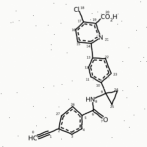 C#Cc1ccc(C(=O)NC2(c3ccc(-c4ccc(Cl)c(C(=O)O)n4)cc3)CC2)cc1